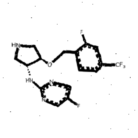 Fc1cnc(N[C@@H]2CNC[C@H]2OCc2ccc(C(F)(F)F)cc2F)nc1